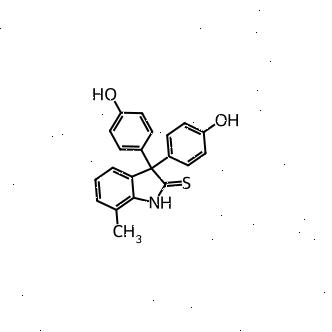 Cc1cccc2c1NC(=S)C2(c1ccc(O)cc1)c1ccc(O)cc1